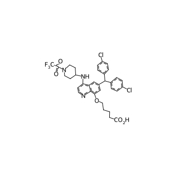 O=C(O)CCCCOc1cc(C(c2ccc(Cl)cc2)c2ccc(Cl)cc2)cc2c(NC3CCN(S(=O)(=O)C(F)(F)F)CC3)ccnc12